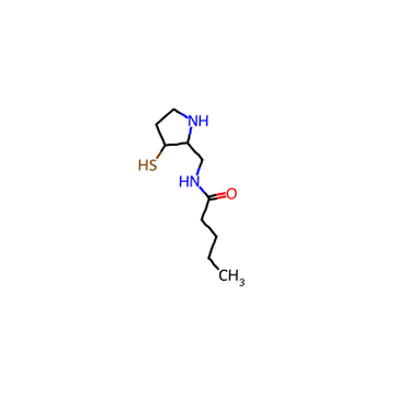 CCCCC(=O)NCC1NCCC1S